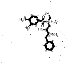 CC(C)CN(C[C@@H](O)[C@@H](N)Cc1ccccc1)S(=O)(=O)c1ccc(N)c(O)c1.O